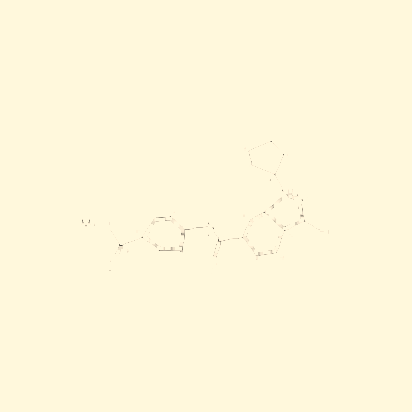 CCc1nn(C2CCCC2)c2cc(C(=O)Nc3ccc(C(=O)OC)cc3)ccc12